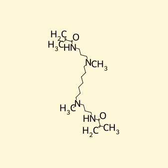 C=C(C)C(=O)NCCCN(C)CCCCCCCN(C)CCCNC(=O)C(=C)C